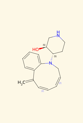 C=C1/C=C\C=C/CN([C@H]2CCNC[C@@H]2O)c2ccccc21